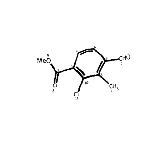 COC(=O)c1ccc(C=O)c(C)c1Cl